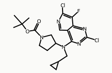 CC(C)(C)OC(=O)N1CCC(N(CC2CC2)c2nc(Cl)nc3c(F)c(Cl)ncc23)C1